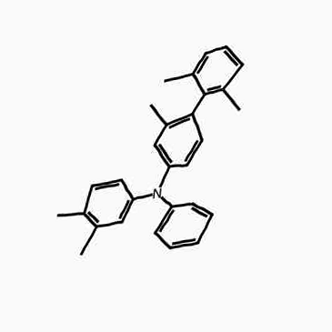 Cc1ccc(N(c2ccccc2)c2ccc(-c3c(C)cccc3C)c(C)c2)cc1C